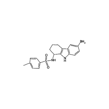 Bc1ccc2[nH]c3c(c2c1)CCCC3NS(=O)(=O)c1ccc(C)cc1